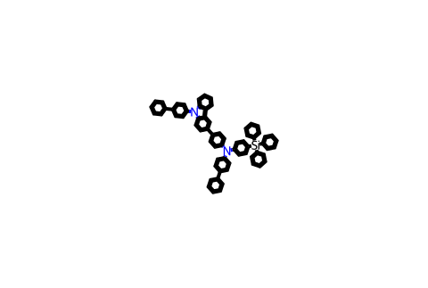 c1ccc(-c2ccc(N(c3ccc(-c4ccc5c(c4)c4ccccc4n5-c4ccc(-c5ccccc5)cc4)cc3)c3ccc([Si](c4ccccc4)(c4ccccc4)c4ccccc4)cc3)cc2)cc1